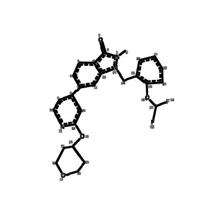 Cn1c(=O)c2ccc(-c3ccnc(OC4CCOCC4)c3)cc2n1Cc1ccccc1OC(F)F